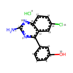 Cl.Nc1nc(-c2cccc(O)c2)c2cc(Cl)ccc2n1